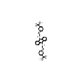 O=C(O)C1CCCN(CCOc2c3ccccc3c(OCCN3CCCC(C(=O)O)C3)c3ccccc23)C1